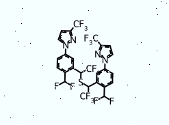 FC(F)c1ccc(-n2ccc(C(F)(F)F)n2)cc1C(SC(c1cc(-n2ccc(C(F)(F)F)n2)ccc1C(F)F)C(F)(F)F)C(F)(F)F